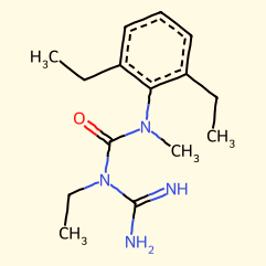 CCc1cccc(CC)c1N(C)C(=O)N(CC)C(=N)N